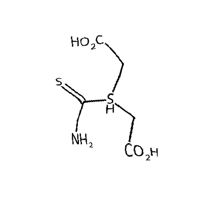 NC(=S)[SH](CC(=O)O)CC(=O)O